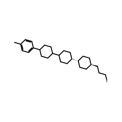 Cc1ccc(C2CCC(C3CCC([C@H]4CC[C@H](CCCF)CC4)CC3)CC2)cc1